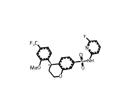 COc1cc(C(F)(F)F)ccc1[C@@H]1CCOc2cc(S(=O)(=O)Nc3cccc(F)n3)ccc21